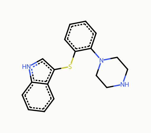 c1ccc(N2CCNCC2)c(Sc2c[nH]c3ccccc23)c1